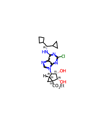 CCOC(=O)[C@@]12C[C@@H]1[C@@H](n1cnc3c(N[C@H](C4CCC4)C4CC4)nc(Cl)nc31)[C@H](O)[C@@H]2O